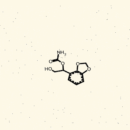 NC(=O)OC(CO)c1cccc2c1OCO2